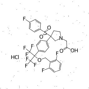 Cl.O=C(O)CN1CCC(c2ccc(C(OCc3c(F)cccc3F)(C(F)(F)F)C(F)(F)F)cc2)(S(=O)(=O)c2ccc(F)cc2)C1